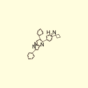 NC1(c2ccc(-c3nc4cc(-c5ccccc5)nn4cc3-c3ccccc3)cc2)CCC1